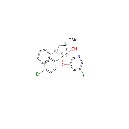 CO[C@H]1C[C@@H](c2ccccc2)[C@]2(c3ccc(Br)cc3)Oc3cc(Cl)cnc3[C@]12O